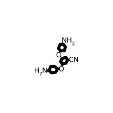 N#Cc1cc(Oc2ccc(N)cc2)cc(Oc2ccc(N)cc2)c1